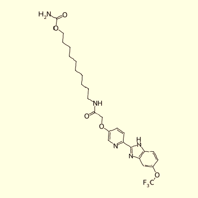 NC(=O)OCCCCCCCCCCNC(=O)COc1ccc(-c2nc3cc(OC(F)(F)F)ccc3[nH]2)nc1